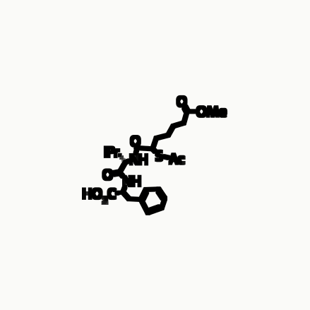 COC(=O)CCCCC(SC(C)=O)C(=O)N[C@H](C(=O)N[C@@H](Cc1ccccc1)C(=O)O)C(C)C